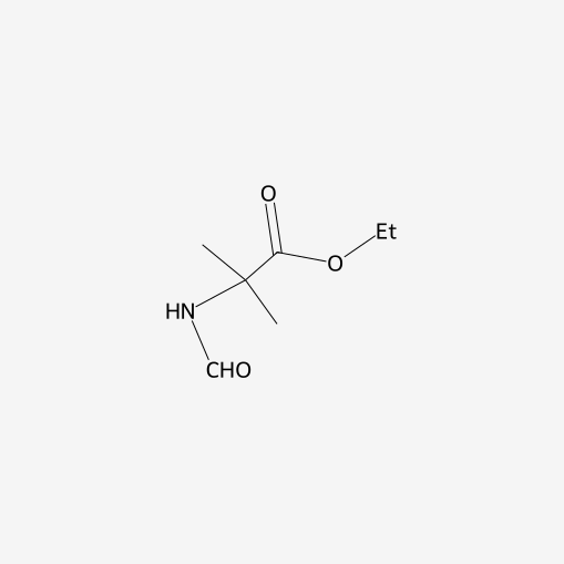 CCOC(=O)C(C)(C)NC=O